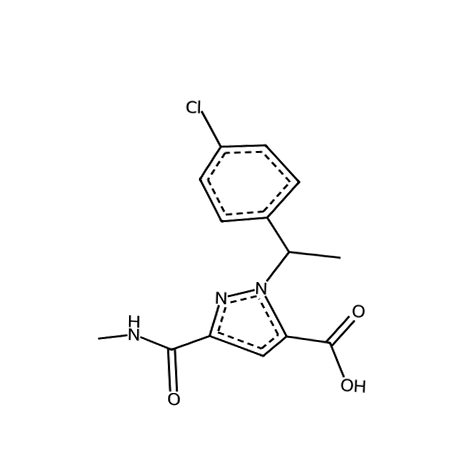 CNC(=O)c1cc(C(=O)O)n(C(C)c2ccc(Cl)cc2)n1